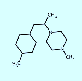 CC1CCC(CC(C)N2CCN(C)CC2)CC1